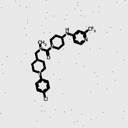 CN(CC1CCN(c2ccc(Cl)cc2)CC1)C(=O)N1CCC(Nc2ccnc(C(F)(F)F)c2)CC1